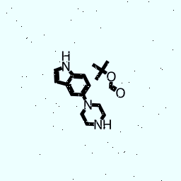 CC(C)(C)OC=O.c1cc2cc(N3CCNCC3)ccc2[nH]1